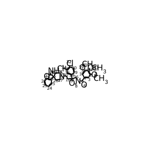 COc1cc(C(=O)N2COC(CCN3CCC(C(N)=O)(c4ccccc4)CC3)(c3ccc(Cl)c(Cl)c3)C2)cc(OC)c1OC